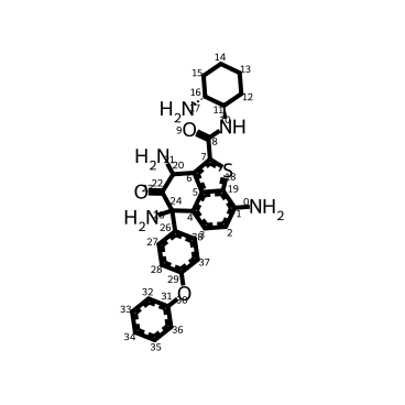 Nc1ccc2c3c(c(C(=O)N[C@@H]4CCCC[C@H]4N)sc13)C(N)C(=O)C2(N)c1ccc(Oc2ccccc2)cc1